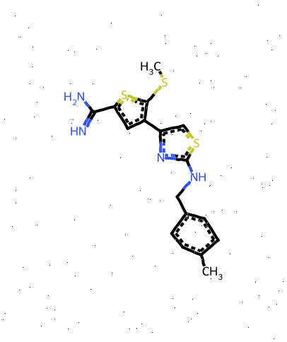 CSc1sc(C(=N)N)cc1-c1csc(NCc2ccc(C)cc2)n1